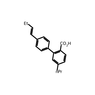 CCC=Cc1ccc(-c2cc(CCC)ccc2C(=O)O)cc1